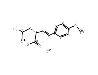 COc1ccc(C=N[C@@H](CC(C)C)C(=O)[O-])cc1.[Na+]